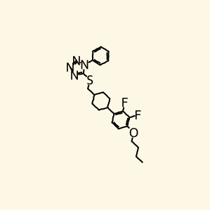 CCCCOc1ccc(C2CCC(CSc3nnnn3-c3ccccc3)CC2)c(F)c1F